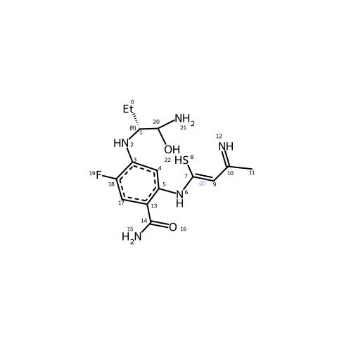 CC[C@@H](Nc1cc(N/C(S)=C/C(C)=N)c(C(N)=O)cc1F)C(N)O